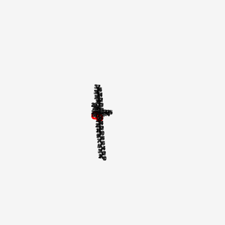 CCCCCCCCCCCCCCCCOC(=O)C(CC)(CCCC)CC(CC)CCCCCCCC